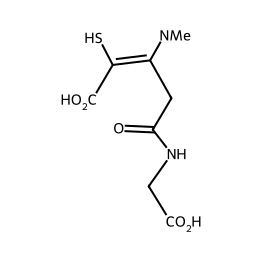 CN/C(CC(=O)NCC(=O)O)=C(\S)C(=O)O